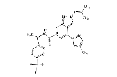 Cc1cnc(-c2cc(C(=O)NC(C)c3cnc(C(F)(F)F)nc3)cc3nn(CC(C)C)cc23)s1